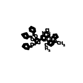 COc1ccc(C)cc1N(c1nc(Cl)nc2cc([C@@H]3O[C@H](COCc4ccccc4)[C@@H](OCc4ccccc4)[C@H]3OCc3ccccc3)cnc12)C1CCCC1